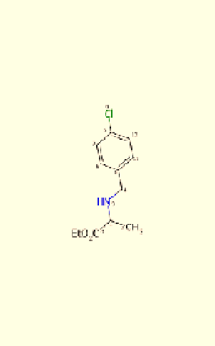 CCOC(=O)C(C)NCc1ccc(Cl)cc1